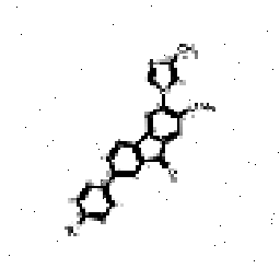 COc1cc2c(cc1-n1cnc(C)c1)-c1ccc(-c3ccc(C#N)cc3)cc1C2=O